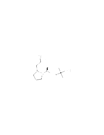 CC(C)(C)O.NCCC1CCCN1C(=O)O